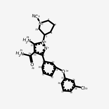 N#CN1CCCC(n2nc(-c3cccc(Oc4cccc(Cl)c4)c3)c(C(N)=O)c2N)C1